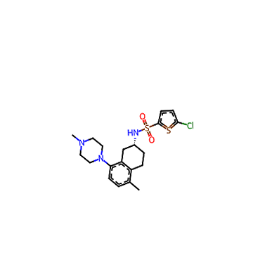 Cc1ccc(N2CCN(C)CC2)c2c1CC[C@@H](NS(=O)(=O)c1ccc(Cl)s1)C2